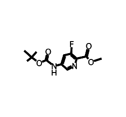 COC(=O)c1ncc(NC(=O)OC(C)(C)C)cc1F